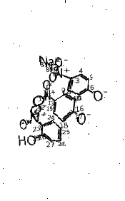 O=[N+]([O-])c1ccc([O-])cc1.O=[N+]([O-])c1ccc([O-])cc1.O=[N+]([O-])c1ccccc1O.[Na+].[Na+]